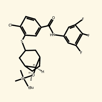 C[C@H]1CC2CC(Sc3cc(C(=O)Nc4cc(F)c(F)c(F)c4)ccc3Cl)CC1[C@@H]2O[Si](C)(C)C(C)(C)C